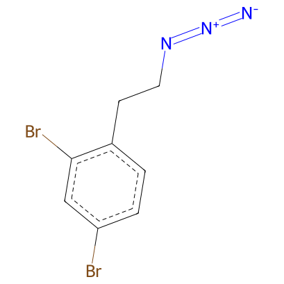 [N-]=[N+]=NCCc1ccc(Br)cc1Br